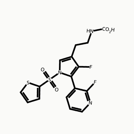 O=C(O)NCCc1cn(S(=O)(=O)c2cccs2)c(-c2cccnc2F)c1F